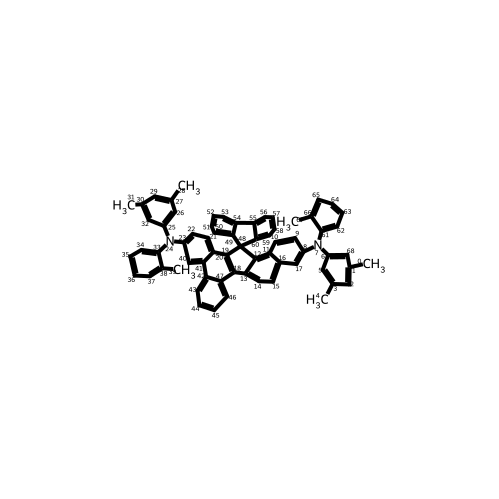 Cc1cc(C)cc(N(c2ccc3c4c(ccc3c2)-c2c(c3ccc(N(c5cc(C)cc(C)c5)c5ccccc5C)cc3c3ccccc23)C42c3ccccc3-c3ccccc32)c2ccccc2C)c1